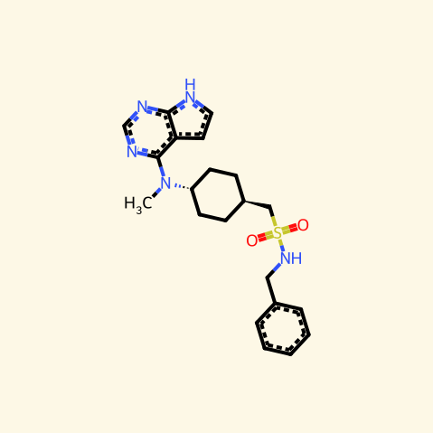 CN(c1ncnc2[nH]ccc12)[C@H]1CC[C@H](CS(=O)(=O)NCc2ccccc2)CC1